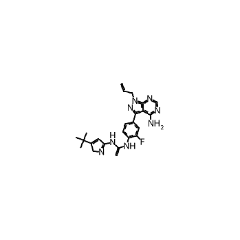 C=CCn1nc(-c2ccc(NC(=C)NC3=NCC(C(C)(C)C)=C3)c(F)c2)c2c(N)ncnc21